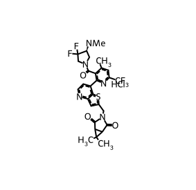 CN[C@H]1CN(C(=O)c2c(C)cc(C(F)(F)F)nc2-c2ccnc3cc(CN4C(=O)C5C(C4=O)C5(C)C)sc23)CC1(F)F.Cl